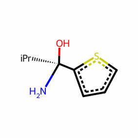 CC(C)[C@](N)(O)c1cccs1